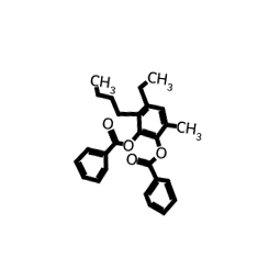 CCCCc1c(CC)cc(C)c(OC(=O)c2ccccc2)c1OC(=O)c1ccccc1